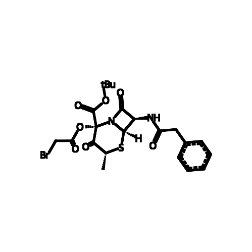 C[C@H]1S[C@@H]2[C@H](NC(=O)Cc3ccccc3)C(=O)N2[C@](OC(=O)CBr)(C(=O)OC(C)(C)C)C1=O